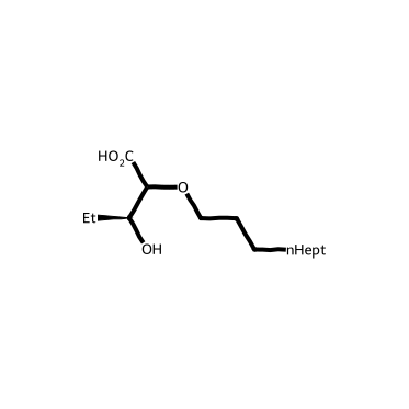 CCCCCCCCCCOC(C(=O)O)[C@@H](O)CC